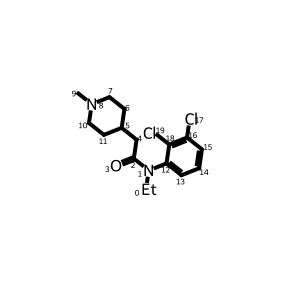 CCN(C(=O)CC1CCN(C)CC1)c1cccc(Cl)c1Cl